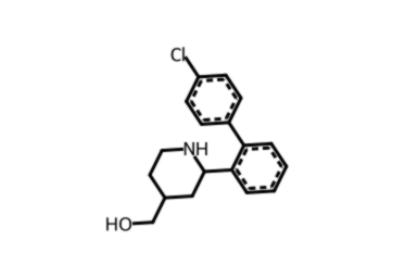 OCC1CCNC(c2ccccc2-c2ccc(Cl)cc2)C1